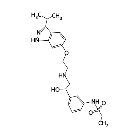 CCS(=O)(=O)Nc1cccc(C(O)CNCCOc2ccc3c(C(C)C)n[nH]c3c2)c1